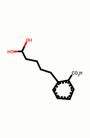 O=C(O)c1ccccc1CCCCC(O)O